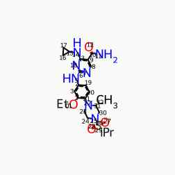 CCOc1cc(Nc2ncc(C(N)=O)c(NC3CC3)n2)ccc1N1CCN(S(=O)(=O)C(C)C)C[C@@H]1C